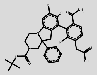 CC(C)(C)OC(=O)N1CCN2c3cc(F)c(Cl)c(-c4c(C(N)=O)ccc(CC(O)=S)c4F)c3CC2(c2ccccc2)C1